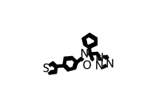 c1ccc(C2(Cn3cncn3)COC(c3ccc(-c4ccsc4)cc3)=N2)cc1